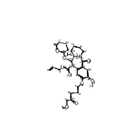 C=CCOC(=O)N1c2cc(OCCCC(=O)COC)c(OC)cc2C(=O)N2CCCC[C@H]2C1OC1CCCCO1